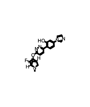 CN1C[C@@H]2C[C@H]1[C@@H](F)[C@H]2Oc1ccc(-c2ccc(-n3ccnc3)cc2O)nn1